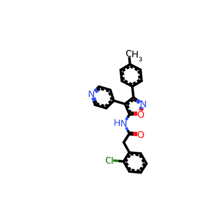 Cc1ccc(-c2noc(NC(=O)Cc3ccccc3Cl)c2-c2ccncc2)cc1